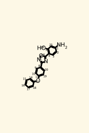 Nc1ccc(-c2nc(-c3ccc(Oc4ccccc4)cc3)no2)c(O)c1